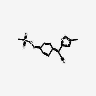 Cc1csc(C(C#N)=C2C=CC(=NOS(C)(=O)=O)C=C2)c1